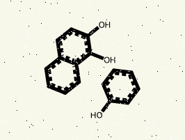 Oc1ccc2ccccc2c1O.Oc1ccccc1